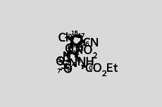 CCOC(=O)CNc1nc(S(C)(=O)=O)nc(Oc2cc(C#N)ccc2Cl)c1[N+](=O)[O-]